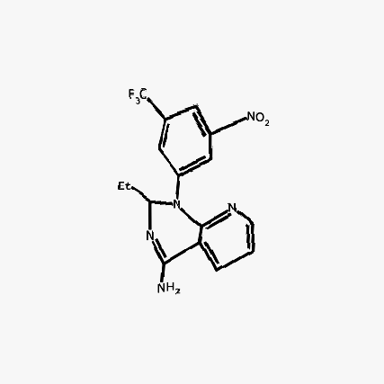 CCC1N=C(N)c2cccnc2N1c1cc([N+](=O)[O-])cc(C(F)(F)F)c1